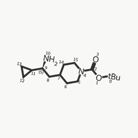 CC(C)(C)OC(=O)N1CCC(C[C@H](N)C2CC2)CC1